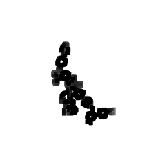 CC1(C)CCC(CN2CCN(c3ccc(C(=O)NS(=O)(=O)c4ccc(O[C@H]5CC[C@@H](N6CCOCC6)CC5)c([N+](=O)[O-])c4)c(N4CCCOc5nc6[nH]ccc6cc54)c3)CC2)=C(c2ccc(Cl)cc2)C1